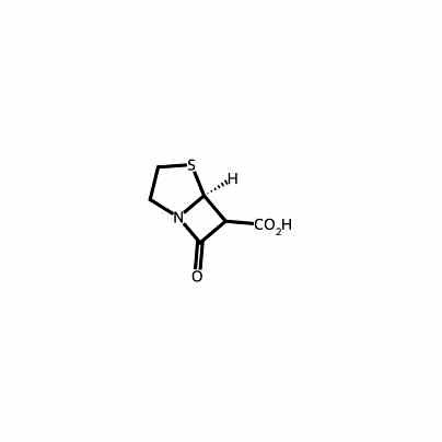 O=C(O)C1C(=O)N2CCS[C@@H]12